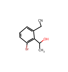 CC(O)c1c(Br)cccc1CC#N